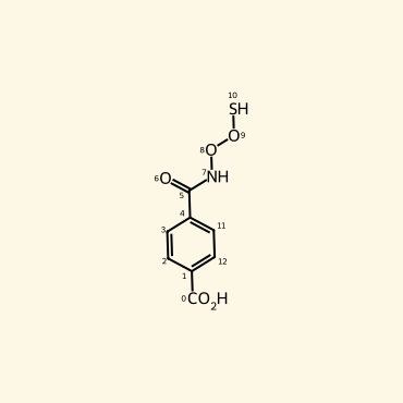 O=C(O)c1ccc(C(=O)NOOS)cc1